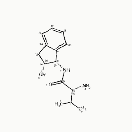 CC(C)[C@@H](N)C(=O)N[C@H]1c2ccccc2C[C@H]1O